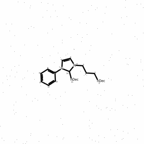 CCCCCCCCCCCCCN1C=CN(c2ccccc2)C1CCCCCCCCCC